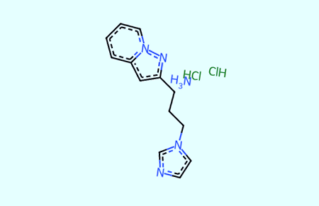 Cl.Cl.N.c1ccn2nc(CCCn3ccnc3)cc2c1